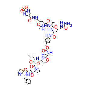 CC[C@H](C)[C@@H]([C@@H](CC(=O)N1CCC[C@H]1[C@H](OC)[C@@H](C)C(=O)N[C@@H](Cc1ccccc1)c1nccs1)OC)N(C)C(=O)[C@@H](NC(=O)C(C)(C)NC(=O)OCc1ccc(NC(=O)[C@H](CCCNC(N)=O)NC(=O)[C@@H](NC(=O)[C@H](CCCCNC(=O)c2cnc(S(C)(=O)=O)nc2)NC(C)=O)C(C)C)cc1)C(C)C